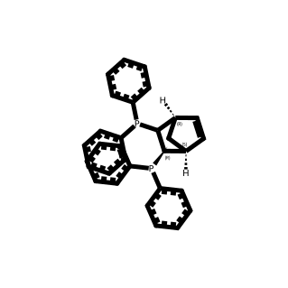 C1=C[C@H]2C[C@@H]1[C@@H](P(c1ccccc1)c1ccccc1)C2P(c1ccccc1)c1ccccc1